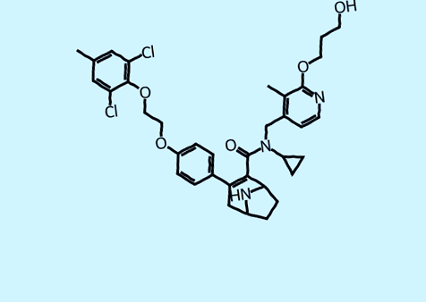 Cc1cc(Cl)c(OCCOc2ccc(C3=C(C(=O)N(Cc4ccnc(OCCCO)c4C)C4CC4)C4CCC(C3)N4)cc2)c(Cl)c1